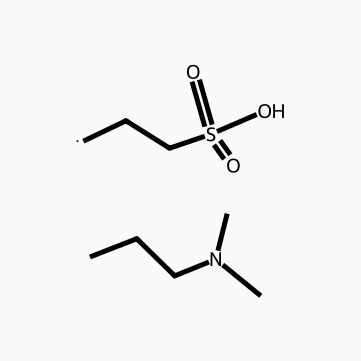 CCCN(C)C.[CH2]CCS(=O)(=O)O